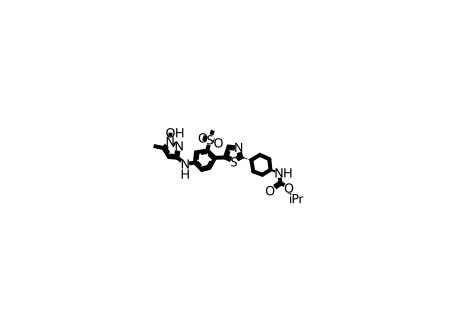 Cc1cc(Nc2ccc(-c3cnc([C@H]4CC[C@H](NC(=O)OC(C)C)CC4)s3)c(S(C)(=O)=O)c2)nn1O